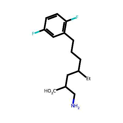 CCC(CCCc1cc(F)ccc1F)CC(CN)C(=O)O